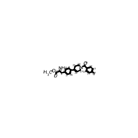 COC(=O)[C@@H](N)Cc1ccc(C2=CCN(C(=O)c3ccc(F)cc3)CC2)cc1